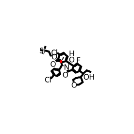 CC[C@@](O)(c1cc(F)c2c(c1)C(=O)N([C@H](c1ccc(Cl)cc1)[C@H](C)C(=O)OCC[Si](C)(C)C)C2(O)c1ccc(Cl)cc1)C1CCOCC1